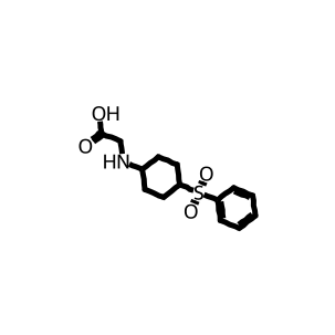 O=C(O)CNC1CCC(S(=O)(=O)c2ccccc2)CC1